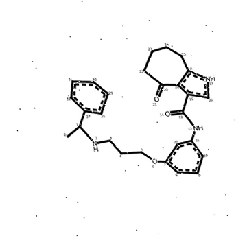 CC(NCCCOc1cccc(NC(=O)c2c[nH]c3c2C(=O)CCCC3)c1)c1ccccc1